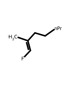 [CH2]C(=CF)CCCCC